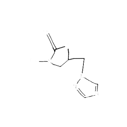 CN1CC(Cn2cncn2)OC1=O